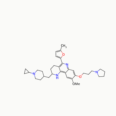 COc1cc2c3c(c(-c4ccc(C)o4)nc2cc1OCCCN1CCCC1)CCC(CC1CCN(C2CC2)CC1)N3